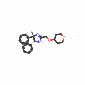 C[C@@]1(c2ccccc2)N=C(COC2CCOCC2)N[C@@H]1c1ccccc1